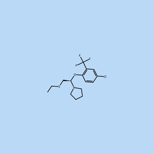 CCSC[C@@H](Oc1ccc(Cl)cc1C(F)(F)F)N1CCCC1